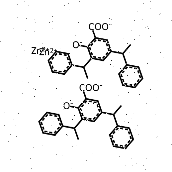 CC(c1ccccc1)c1cc(C(=O)[O-])c([O-])c(C(C)c2ccccc2)c1.CC(c1ccccc1)c1cc(C(=O)[O-])c([O-])c(C(C)c2ccccc2)c1.[Zn+2].[Zn+2]